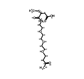 CSC(CC(=O)O)C(=O)NCCOCCOCCOCCC(C)=O